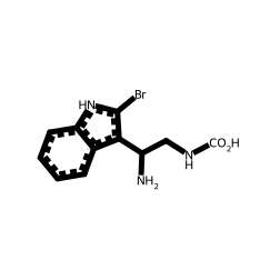 NC(CNC(=O)O)c1c(Br)[nH]c2ccccc12